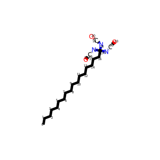 CCCCCCCCCCCCCCCCCC(N=C=O)(N=C=O)N=C=O